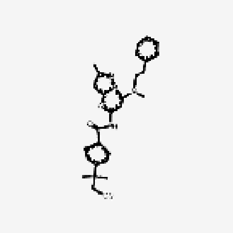 Cc1cc2nc(NC(=O)c3ccc(C(C)(C)CO)cc3)cc(N(C)CCc3ccccc3)n2n1